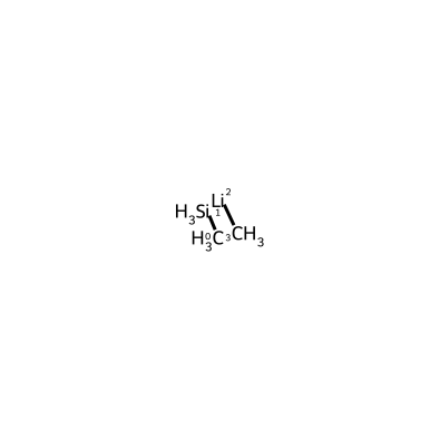 C[SiH3].[Li][CH3]